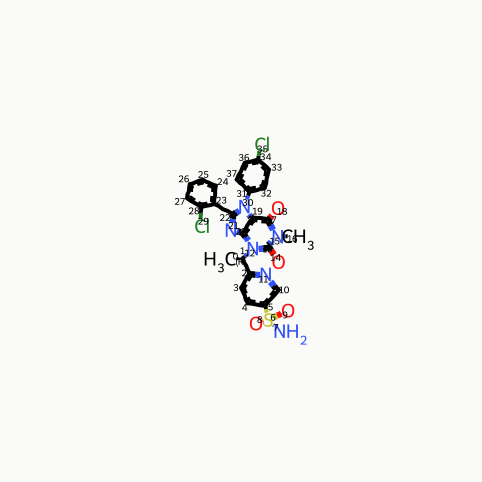 C[C@H](c1ccc(S(N)(=O)=O)cn1)n1c(=O)n(C)c(=O)c2c1nc(-c1ccccc1Cl)n2-c1ccc(Cl)cc1